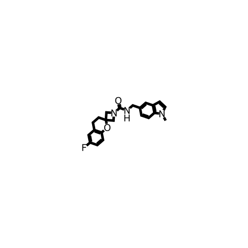 Cn1ccc2cc(CNC(=O)N3CC4(CCc5cc(F)ccc5O4)C3)ccc21